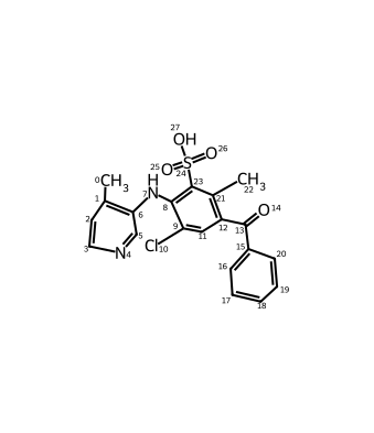 Cc1ccncc1Nc1c(Cl)cc(C(=O)c2ccccc2)c(C)c1S(=O)(=O)O